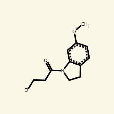 COc1ccc2c(c1)N(C(=O)CCCl)CC2